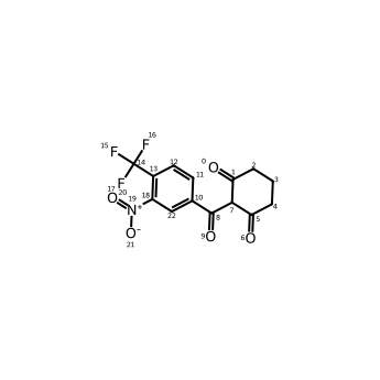 O=C1CCCC(=O)C1C(=O)c1ccc(C(F)(F)F)c([N+](=O)[O-])c1